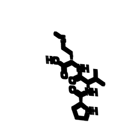 CSCC[C@H](NC(=O)[C@@H](NC(=O)[C@@H]1CCCN1)C(C)C)C(=O)O